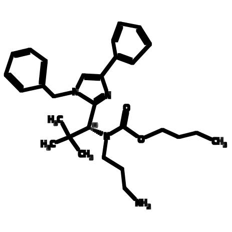 CCCCOC(=O)N(CCCN)[C@@H](c1nc(-c2ccccc2)cn1Cc1ccccc1)C(C)(C)C